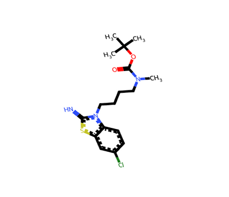 CN(CCCCn1c(=N)sc2cc(Cl)ccc21)C(=O)OC(C)(C)C